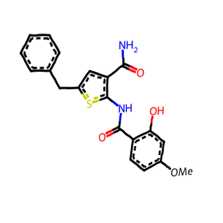 COc1ccc(C(=O)Nc2sc(Cc3ccccc3)cc2C(N)=O)c(O)c1